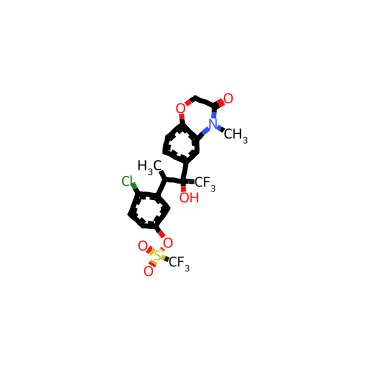 CC(c1cc(OS(=O)(=O)C(F)(F)F)ccc1Cl)C(O)(c1ccc2c(c1)N(C)C(=O)CO2)C(F)(F)F